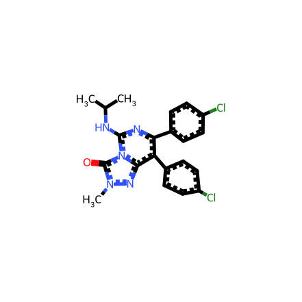 CC(C)Nc1nc(-c2ccc(Cl)cc2)c(-c2ccc(Cl)cc2)c2nn(C)c(=O)n12